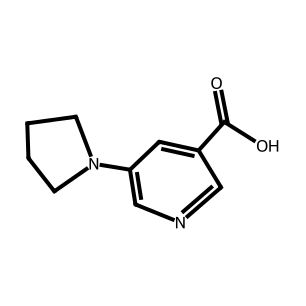 O=C(O)c1cncc(N2CCCC2)c1